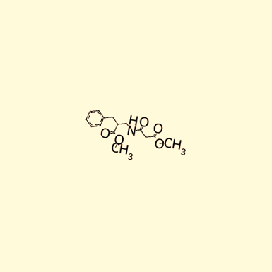 COC(=O)CC(=O)NCC(Cc1ccccc1)C(=O)OC